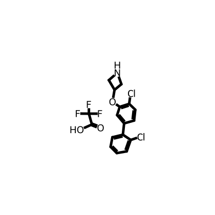 Clc1ccc(-c2ccccc2Cl)cc1OC1CNC1.O=C(O)C(F)(F)F